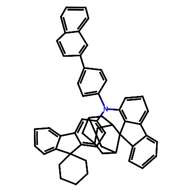 c1ccc2c(c1)-c1cc(N(c3ccc(-c4ccc5ccccc5c4)cc3)c3cccc4c3C3(c5ccccc5-4)C4CC5CC(C4)CC3C5)ccc1C21CCCCC1